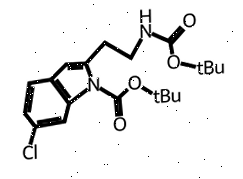 CC(C)(C)OC(=O)NCCc1cc2ccc(Cl)cc2n1C(=O)OC(C)(C)C